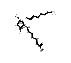 CCCCCC=CC[C@H]1[C@H](O)CC(=O)[C@@H]1CCCCCCC(=O)O